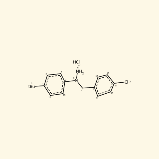 CC(C)(C)c1ccc(N(N)Cc2ccc(Cl)cc2)cc1.Cl